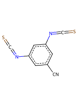 N#Cc1cc(N=C=S)cc(N=C=S)c1